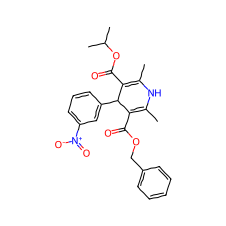 CC1=C(C(=O)OCc2ccccc2)C(c2cccc([N+](=O)[O-])c2)C(C(=O)OC(C)C)=C(C)N1